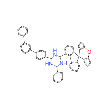 c1ccc(-c2cccc(-c3ccc(C4NC(c5ccccc5)NC(c5cccc6c5-c5ccccc5C65c6ccccc6Oc6ccccc65)N4)cc3)c2)cc1